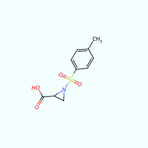 Cc1ccc(S(=O)(=O)N2CC2C(=O)O)cc1